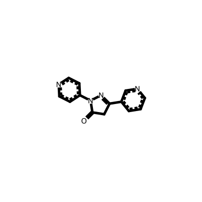 O=C1CC(c2cccnc2)=NN1c1ccncc1